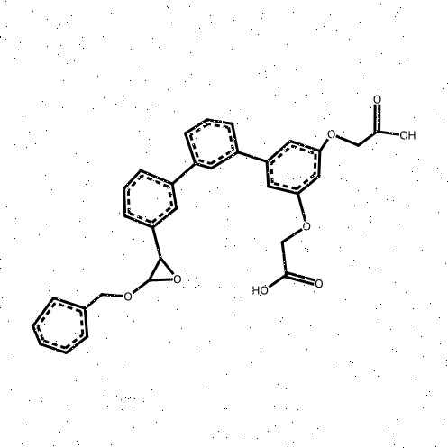 O=C(O)COc1cc(OCC(=O)O)cc(-c2cccc(-c3cccc(C4OC4OCc4ccccc4)c3)c2)c1